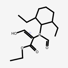 CCOC(=O)/C(=C\O)N(C=O)C1C(CC)CCCC1CC